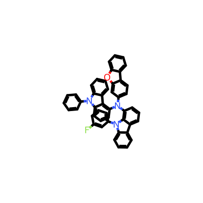 Fc1cccc(-n2c3ccccc3c3cccc(N(c4ccc5c(c4)oc4ccccc45)c4cccc5c4c4ccccc4n5-c4ccccc4)c32)c1